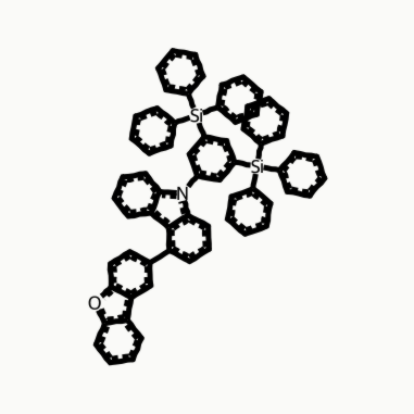 c1ccc([Si](c2ccccc2)(c2ccccc2)c2cc(-n3c4ccccc4c4c(-c5ccc6oc7ccccc7c6c5)cccc43)cc([Si](c3ccccc3)(c3ccccc3)c3ccccc3)c2)cc1